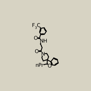 CCCC(=O)C1(c2ccccc2)CCN(C(=O)CCNC(=O)c2cccc(C(F)(F)F)c2)CC1